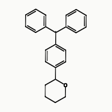 c1ccc([C](c2ccccc2)c2ccc(C3CCCCO3)cc2)cc1